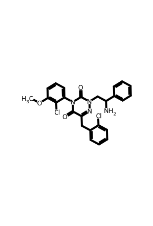 COc1cccc(-n2c(=O)c(Cc3ccccc3Cl)nn(CC(N)c3ccccc3)c2=O)c1Cl